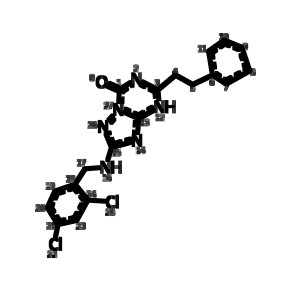 O=c1nc(CCc2ccccc2)[nH]c2nc(NCc3ccc(Cl)cc3Cl)nn12